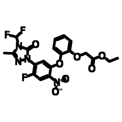 CCOC(=O)COc1ccccc1Oc1cc(-n2nc(C)n(C(F)F)c2=O)c(F)cc1[N+](=O)[O-]